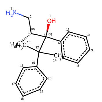 C[C@H](CN)[C@](O)(c1ccccc1)C(C)(C)c1ccccc1